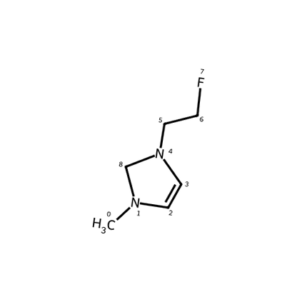 CN1C=CN(CCF)C1